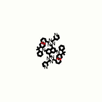 CC1(C)c2ccccc2N(c2cc(-c3nc(-c4cccnc4)nc(-c4ccccn4)n3)c3cc(N4c5ccccc5C(C)(C)c5ccccc54)cc(-c4nc(-c5cccnc5)nc(-c5ccccn5)n4)c3c2)c2ccccc21